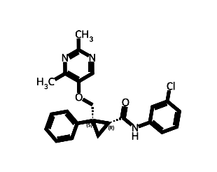 Cc1ncc(OC[C@@]2(c3ccccc3)C[C@H]2C(=O)Nc2cccc(Cl)c2)c(C)n1